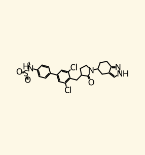 CN(c1ccc(-c2cc(Cl)c(CC3CCN(C4CCc5n[nH]cc5C4)C3=O)c(Cl)c2)cc1)[SH](=O)=O